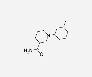 CC1CCCC(N2CCCC(C(N)=O)C2)C1